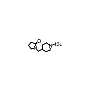 CC(C)(C)N1CCC(CN2CCCC2=O)CC1